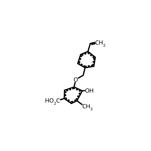 C=Cc1ccc(COc2cc(C(=O)O)cc(C)c2O)cc1